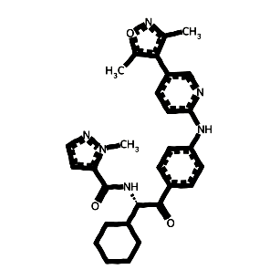 Cc1noc(C)c1-c1ccc(Nc2ccc(C(=O)[C@@H](NC(=O)c3ccnn3C)C3CCCCC3)cc2)nc1